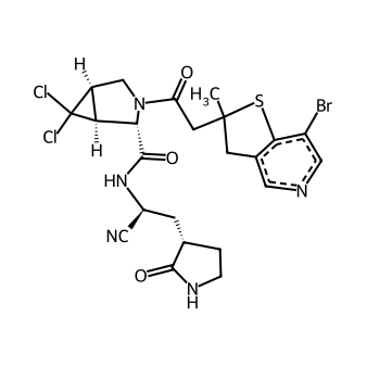 CC1(CC(=O)N2C[C@H]3[C@@H]([C@H]2C(=O)N[C@H](C#N)C[C@@H]2CCNC2=O)C3(Cl)Cl)Cc2cncc(Br)c2S1